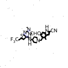 C\N=C(/N=C1/SC(CC(F)(F)F)=C/C1=C\NC1CCN(Cc2ccc3[nH]c(C#N)cc3c2C)CC1)NC=O